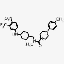 Cc1ccc(N2CCN(C(=O)N(C)CC3CCC(Nc4ccc([N+](=O)[O-])c(C(F)(F)F)c4)CC3)CC2)cc1